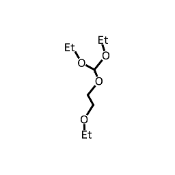 CCOCCO[C](OCC)OCC